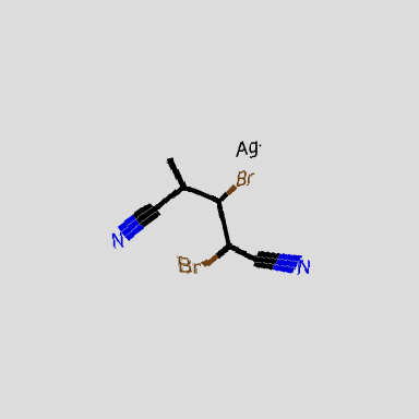 CC(C#N)C(Br)C(Br)C#N.[Ag]